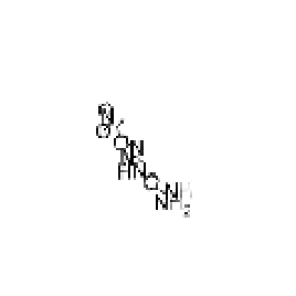 C[C@H](C(=O)N1CCCC1)c1ccc2c(c1)nc(CNc1ccc(C(=N)N)cc1)n2C